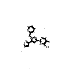 Oc1nc(-c2cc(-c3ccon3)n(Cc3ccccn3)n2)ncc1F